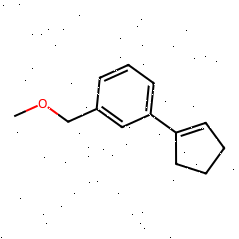 COCc1cccc(C2=CCCC2)c1